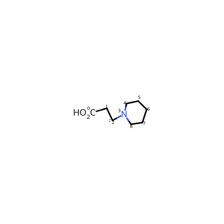 O=C(O)C[C]N1CCCCC1